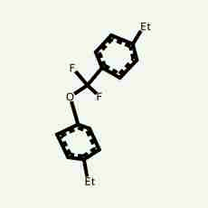 CCc1ccc(OC(F)(F)c2ccc(CC)cc2)cc1